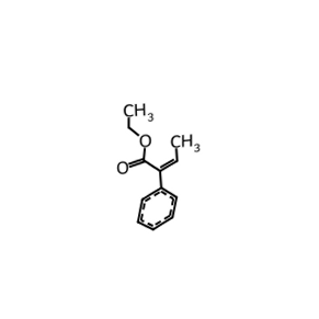 CC=C(C(=O)OCC)c1ccccc1